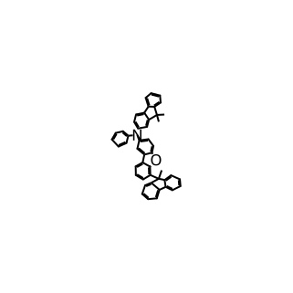 CC1(C)c2ccccc2-c2ccc(N(c3ccccc3)c3ccc4oc5c(C6(C)c7ccccc7-c7ccccc76)cccc5c4c3)cc21